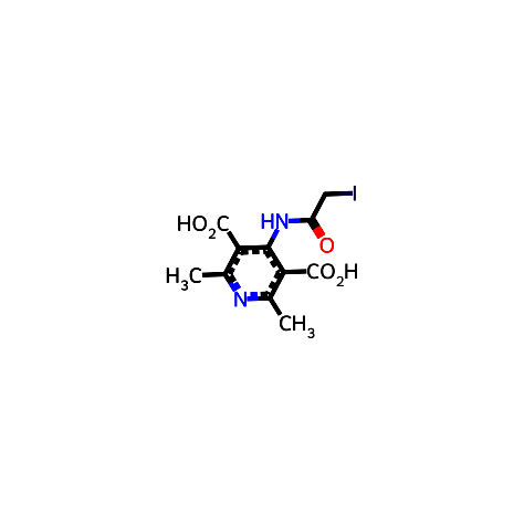 Cc1nc(C)c(C(=O)O)c(NC(=O)CI)c1C(=O)O